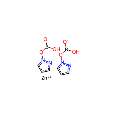 [O-]B(O)On1cccn1.[O-]B(O)On1cccn1.[Zn+2]